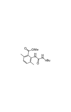 CCCCNC(=O)Nc1c(C)ccc(C)c1C(=O)OC